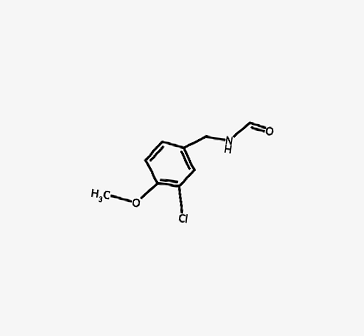 COc1ccc(CNC=O)cc1Cl